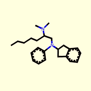 CCCCCC(CN(c1ccccc1)C1Cc2ccccc2C1)N(C)C